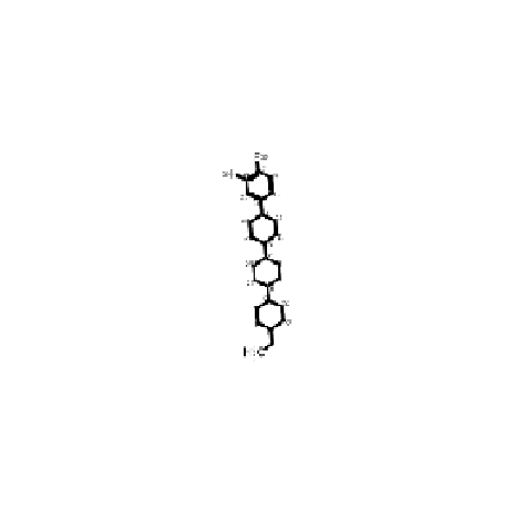 CCC1CCC(C2CCC(C3CCC(c4ccc(F)c(F)c4)CC3)CC2)CC1